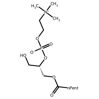 CCCCCC(=O)OC[C@H](CO)OP(=O)([O-])OCC[N+](C)(C)C